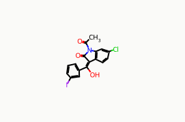 CC(=O)N1C(=O)C(=C(O)c2cccc(I)c2)c2ccc(Cl)cc21